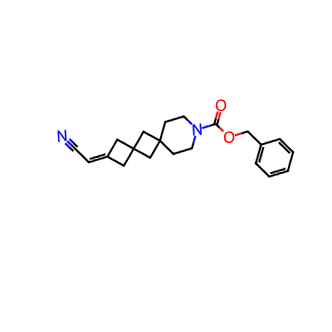 N#CC=C1CC2(C1)CC1(CCN(C(=O)OCc3ccccc3)CC1)C2